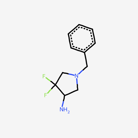 NC1CN(Cc2ccccc2)CC1(F)F